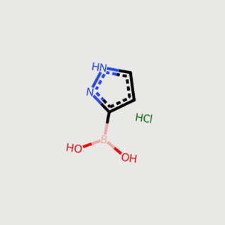 Cl.OB(O)c1cc[nH]n1